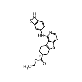 CCOC(=O)[C@H]1CCc2c(sc3ncnc(Nc4ccc5[nH]sc5c4)c23)C1